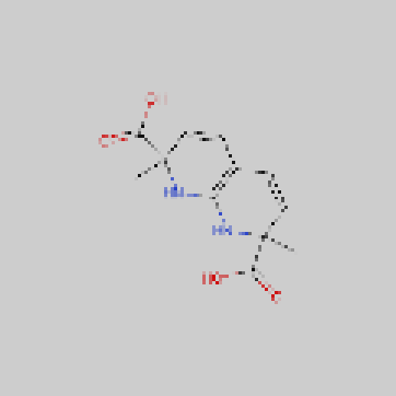 CC1(C(=O)O)C=CC2=C(N1)NC(C)(C(=O)O)C=C2